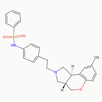 N#Cc1ccc2c(c1)[C@@H]1CN(CCc3ccc(NS(=O)(=O)c4ccccc4)cc3)C[C@H]1CO2